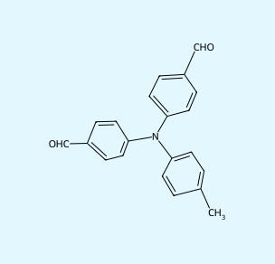 Cc1ccc(N(c2ccc(C=O)cc2)c2ccc(C=O)cc2)cc1